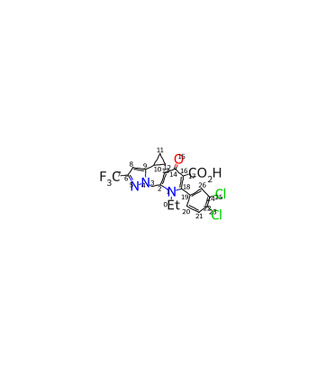 CCn1c(Cn2nc(C(F)(F)F)cc2C2CC2)cc(=O)c(C(=O)O)c1-c1ccc(Cl)c(Cl)c1